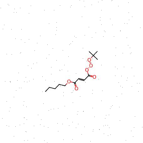 CCCCCOC(=O)C=CC(=O)OOOC(C)(C)C